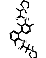 Cc1cccc(-c2ccc(C)c(NC(=O)C(C)[N+]3(C)CCCC3)c2C)c1NC(=O)C(C)(C)[N+]1(C)CCCC1